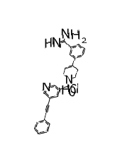 Cl.N=C(N)c1cccc(C2=CCN(C(=O)c3cncc(C#Cc4ccccc4)c3)CC2)c1